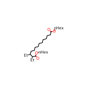 CCCCCCOC(=O)CCCCCCCCCCC(CC)C(CC)C(=O)OCCCCCC